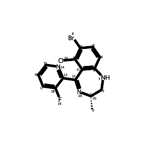 C[C@H]1CNc2ccc(Br)c(Cl)c2C(c2ncccc2F)=N1